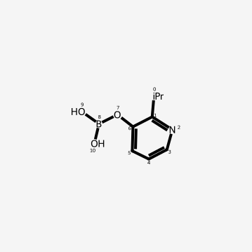 CC(C)c1ncccc1OB(O)O